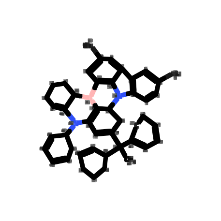 CC(C)(C)c1ccc2c(c1)c1cc(C(C)(C)C)cc3c1n2C1CC(C(C)(C2=CC=CCC2)C2C=CCCC2)=CC2=C1B3C1CCCC=C1N2C1C=CC=CC1